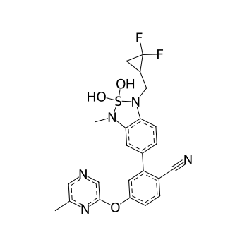 Cc1cncc(Oc2ccc(C#N)c(-c3ccc4c(c3)N(C)S(O)(O)N4CC3CC3(F)F)c2)n1